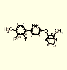 Cc1ccc(-c2ccc(OC3C4CCN(CC4)C3C)nn2)c(F)c1F